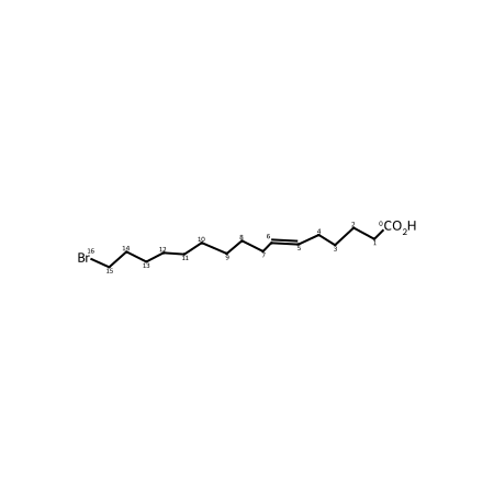 O=C(O)CCCCC=CCCCCCCCCCBr